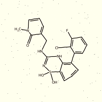 Cn1cccc(CNC2=NS(O)(O)c3cccc(-c4cccc(F)c4Cl)c3N2)c1=O